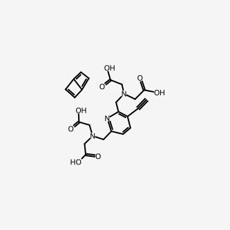 C#Cc1ccc(CN(CC(=O)O)CC(=O)O)nc1CN(CC(=O)O)CC(=O)O.c1cc2ccc1-2